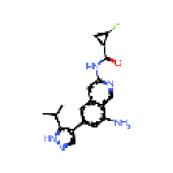 CC(C)c1[nH]ncc1-c1cc(N)c2cnc(NC(=O)[C@H]3C[C@H]3F)cc2c1